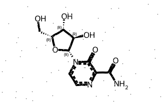 NC(=O)c1nccn([C@@H]2O[C@H](CO)[C@H](O)[C@H]2O)c1=O